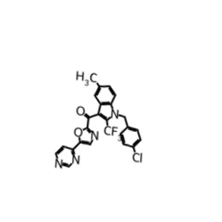 Cc1ccc2c(c1)c(C(=O)c1ncc(-c3ccncn3)o1)c(C(F)(F)F)n2Cc1ccc(Cl)cc1